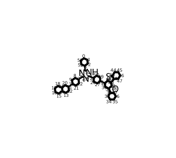 c1ccc(C2N=C(c3ccc(-c4ccc5ccccc5c4)cc3)N=C(c3ccc(-c4cc5c6ccccc6oc5c5c4sc4ccccc45)cc3)N2)cc1